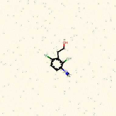 [C-]#[N+]c1ccc(F)c(CCO)c1Cl